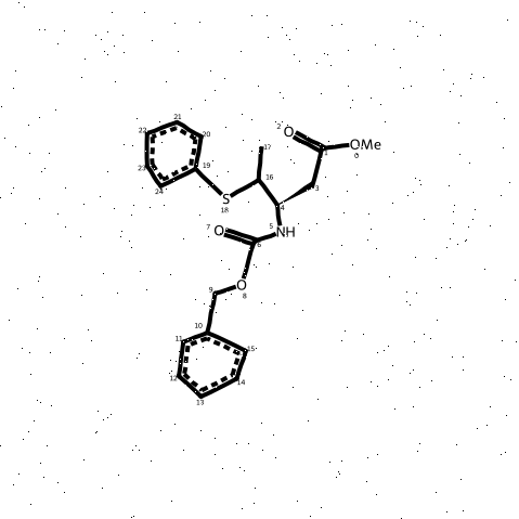 COC(=O)C[C@@H](NC(=O)OCc1ccccc1)C(C)Sc1ccccc1